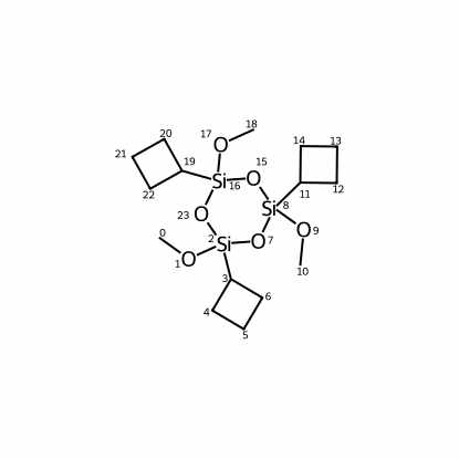 CO[Si]1(C2CCC2)O[Si](OC)(C2CCC2)O[Si](OC)(C2CCC2)O1